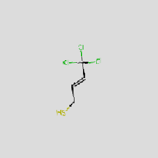 SCC=CC(Cl)(Cl)Cl